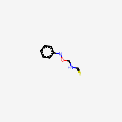 S=CNCO[N]c1ccccc1